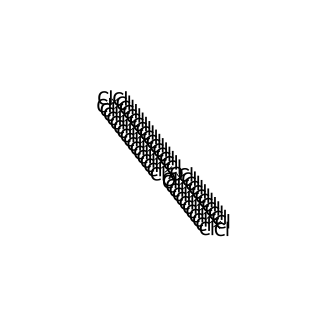 O=C(OC(Cl)(Cl)C(Cl)(Cl)C(Cl)(Cl)C(Cl)(Cl)C(Cl)(Cl)C(Cl)(Cl)C(Cl)(Cl)C(Cl)(Cl)C(Cl)(Cl)C(Cl)(Cl)C(Cl)(Cl)C(Cl)(Cl)Cl)C(Cl)(Cl)C(Cl)(Cl)C(Cl)(Cl)C(Cl)(Cl)C(Cl)(Cl)C(Cl)(Cl)C(Cl)(Cl)C(Cl)(Cl)C(Cl)(Cl)C(Cl)(Cl)C(Cl)(Cl)C(Cl)(Cl)C(Cl)(Cl)C(Cl)(Cl)C(Cl)(Cl)C(Cl)(Cl)C(Cl)(Cl)Cl